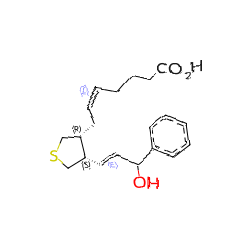 O=C(O)CCC/C=C\C[C@H]1CSC[C@H]1/C=C/C(O)c1ccccc1